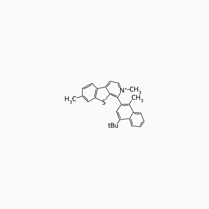 Cc1ccc2c(c1)sc1c(-c3cc(C(C)(C)C)c4ccccc4c3C)[n+](C)ccc12